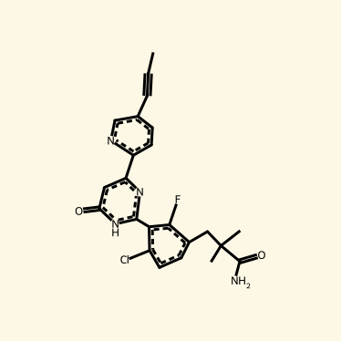 CC#Cc1ccc(-c2cc(=O)[nH]c(-c3c(Cl)ccc(CC(C)(C)C(N)=O)c3F)n2)nc1